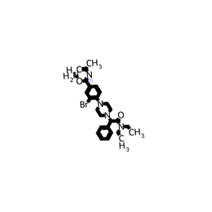 C=C(C)/N=C(\ON)c1ccc(N2CCN(C(C(=O)N(CC)CC)c3ccccc3)CC2)c(Br)c1